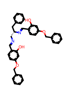 Oc1cc(OCc2ccccc2)ccc1C=NC[C@H](Cc1ccccc1)N=Cc1ccc(OCc2ccccc2)cc1O